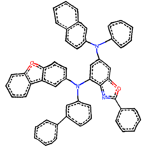 c1ccc(-c2cccc(N(c3ccc4oc5ccccc5c4c3)c3cc(N(c4ccccc4)c4ccc5ccccc5c4)cc4oc(-c5ccccc5)nc34)c2)cc1